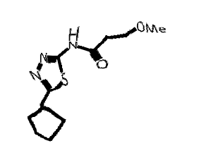 COCCC(=O)Nc1nnc(C2CCCC2)s1